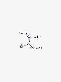 C/C=C(F)\C(Cl)=C/C